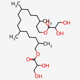 CC(CCCC(C)CCCC(C)COC(=O)C(O)CO)CCCC(C)CCOC(=O)C(O)CO